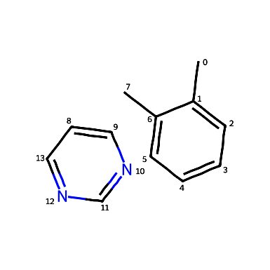 Cc1ccccc1C.c1cncnc1